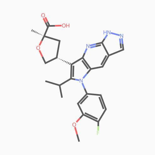 COc1cc(-n2c(C(C)C)c([C@@H]3CO[C@@](C)(C(=O)O)C3)c3nc4[nH]ncc4cc32)ccc1F